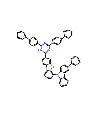 c1ccc(-c2ccc(C3=NC(c4ccc(-c5ccccc5)cc4)NC(c4ccc5c(c4)oc4c(-n6c7ccccc7c7cc(-c8ccccc8)ccc76)cccc45)=N3)cc2)cc1